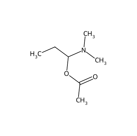 CCC(OC(C)=O)N(C)C